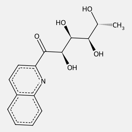 C[C@@H](O)[C@@H](O)[C@H](O)[C@@H](O)C(=O)c1ccc2ccccc2n1